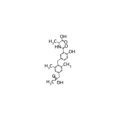 Cc1cc(CP(C)(=O)O)cc(C)c1Cc1ccc(O)c(C(=O)NC(C)C(=O)O)c1